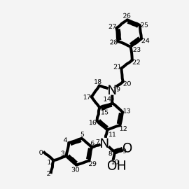 CC(C)c1ccc(N(C(=O)O)c2ccc3c(c2)CCN3CCCc2ccccc2)cc1